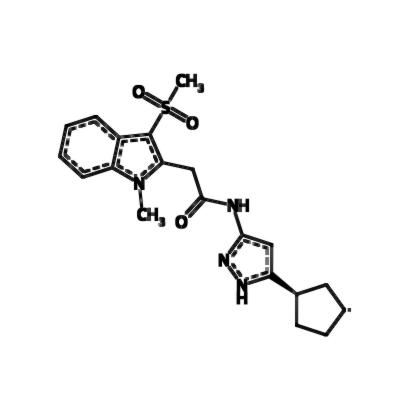 Cn1c(CC(=O)Nc2cc([C@H]3C[CH]CC3)[nH]n2)c(S(C)(=O)=O)c2ccccc21